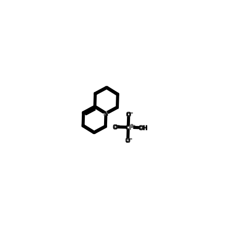 C1=C2CCCCN2CCC1.[O-][Cl+3]([O-])([O-])O